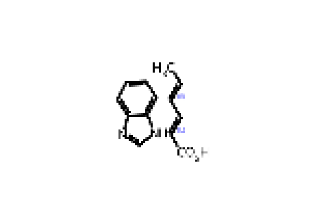 C/C=C/C=C/C(=O)O.c1ccc2[nH]cnc2c1